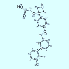 Cc1c(Cl)cccc1-c1cccc(COc2ccc(C3(OCC(=O)O)COC3)cc2)n1